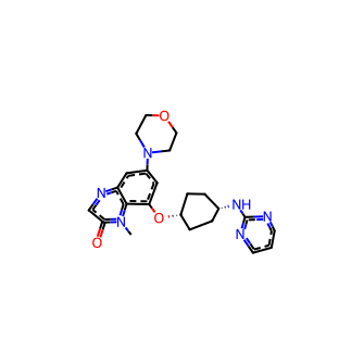 Cn1c(=O)cnc2cc(N3CCOCC3)cc(O[C@H]3CC[C@@H](Nc4ncccn4)CC3)c21